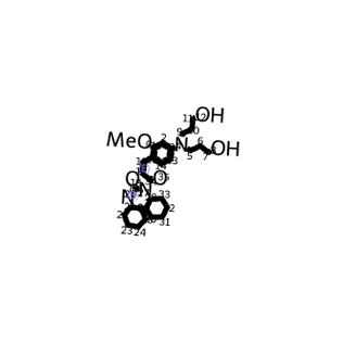 COc1cc(N(CCCO)CCCO)ccc1/C=C1/O/C(=N/C2CCCCC2)N(C2CCCCC2)C1=O